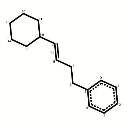 [c]1ccccc1CC/C=C/C1CCCCC1